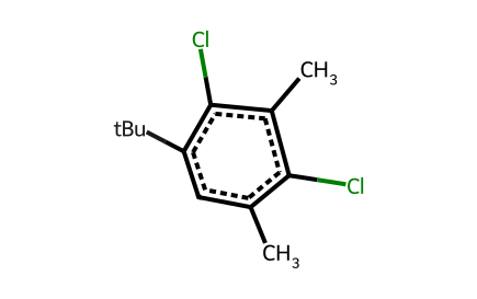 Cc1cc(C(C)(C)C)c(Cl)c(C)c1Cl